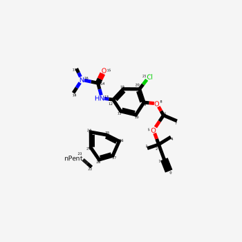 C#CC(C)(C)OC(C)Oc1ccc(NC(=O)N(C)C)cc1Cl.CCCCCC.c1ccccc1